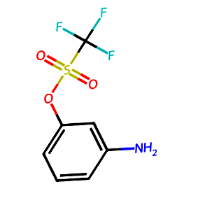 Nc1cccc(OS(=O)(=O)C(F)(F)F)c1